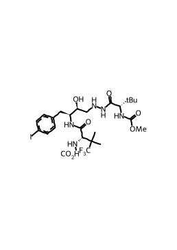 COC(=O)N[C@H](C(=O)NNC[C@H](O)[C@H](Cc1ccc(I)cc1)NC(=O)[C@@H](NC(=O)O)C(C)(C)C(F)(F)F)C(C)(C)C